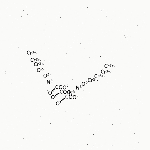 O=C([O-])[O-].O=C([O-])[O-].O=C([O-])[O-].[Cr+3].[Cr+3].[Cr+3].[Cr+3].[Cr+3].[Cr+3].[Cr+3].[N-3].[N-3].[N-3].[O-2].[O-2].[O-2]